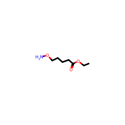 CCOC(=O)CCCCON